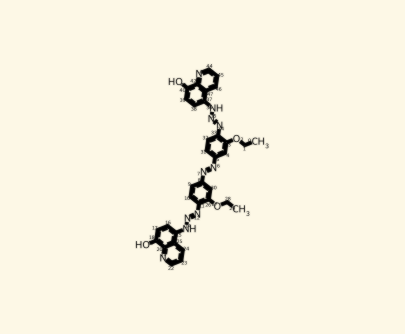 CCOc1cc(/N=N/c2ccc(N=NNc3ccc(O)c4ncccc34)c(OCC)c2)ccc1N=NNc1ccc(O)c2ncccc12